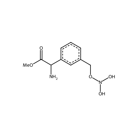 COC(=O)C(N)c1cccc(CON(O)O)c1